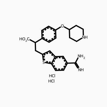 Cl.Cl.N=C(N)c1ccc2sc(CC(C(=O)O)c3ccc(OC4CCNCC4)cc3)cc2c1